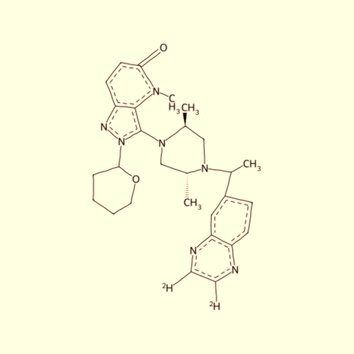 [2H]c1nc2ccc(C(C)N3C[C@H](C)N(c4c5c(ccc(=O)n5C)nn4C4CCCCO4)C[C@H]3C)cc2nc1[2H]